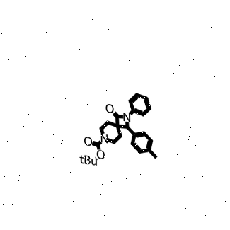 Cc1ccc(C2N(c3ccccc3)C(=O)C23CCN(C(=O)OC(C)(C)C)CC3)cc1